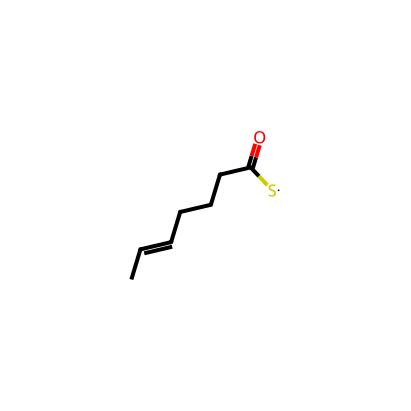 CC=CCCCC(=O)[S]